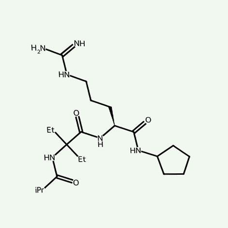 CCC(CC)(NC(=O)C(C)C)C(=O)N[C@@H](CCCNC(=N)N)C(=O)NC1CCCC1